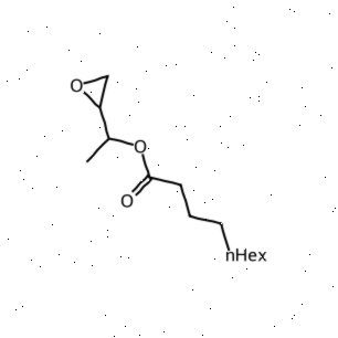 CCCCCCCCCC(=O)OC(C)C1CO1